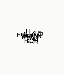 CC(=O)c1ccccn1.O=C(N=NC(=S)Nc1ccccn1)NNS(=O)(=O)O